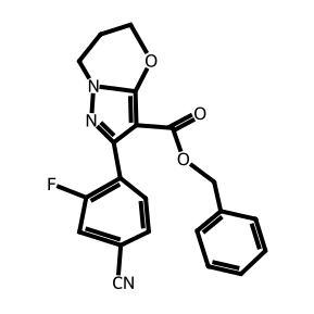 N#Cc1ccc(-c2nn3c(c2C(=O)OCc2ccccc2)OCCC3)c(F)c1